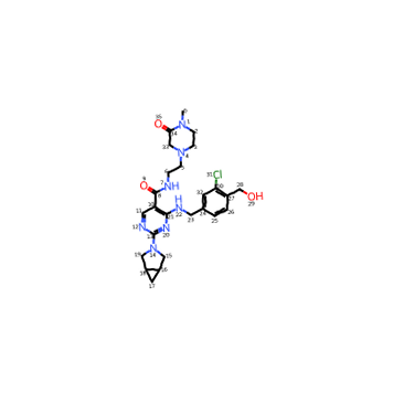 CN1CCN(CCNC(=O)c2cnc(N3CC4CC4C3)nc2NCc2ccc(CO)c(Cl)c2)CC1=O